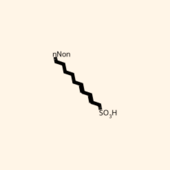 CCCCCCCCCCCCCC/C=C/C=C/CS(=O)(=O)O